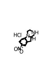 Cl.O=[N+]([O-])c1ccc2c(c1)C[C@H]1CNCCN21